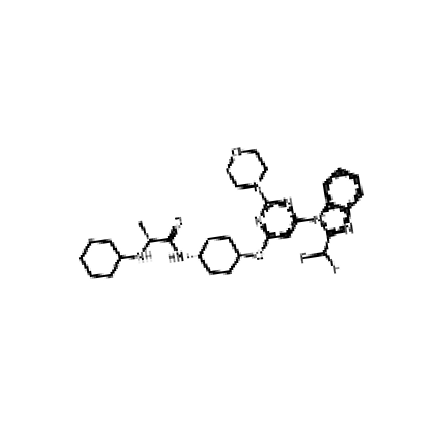 C[C@H](NC1CCCCC1)C(=O)N[C@H]1CC[C@H](Oc2cc(-n3c(C(F)F)nc4ccccc43)nc(N3CCOCC3)n2)CC1